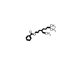 C=CC(CC=COC(=O)c1ccccc1)CCC=C(C)C